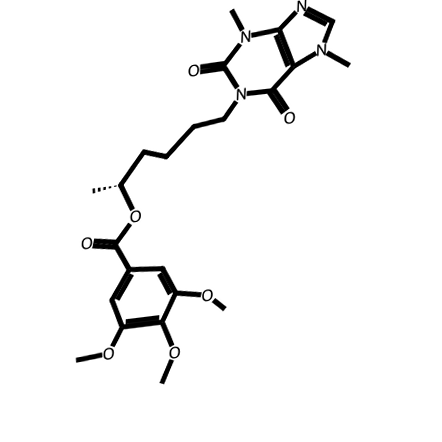 COc1cc(C(=O)O[C@H](C)CCCCn2c(=O)c3c(ncn3C)n(C)c2=O)cc(OC)c1OC